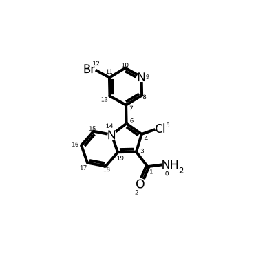 NC(=O)c1c(Cl)c(-c2cncc(Br)c2)n2ccccc12